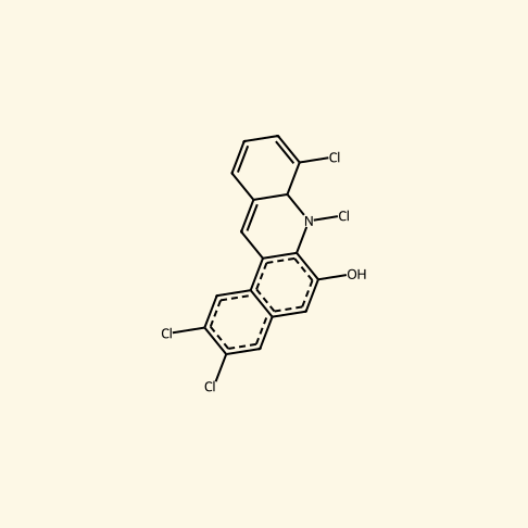 Oc1cc2cc(Cl)c(Cl)cc2c2c1N(Cl)C1C(Cl)=CC=CC1=C2